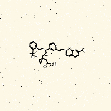 CC(C)(O)c1ccccc1CC[C@@H](SCC1(CC(=O)O)CC1)C1=CC(/C=C/c2ccc3ccc(Cl)cc3n2)CC=C1